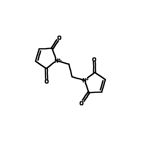 O=C1C=CC(=O)[N+]1CC[N+]1C(=O)C=CC1=O